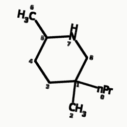 CCCC1(C)CCC(C)NC1